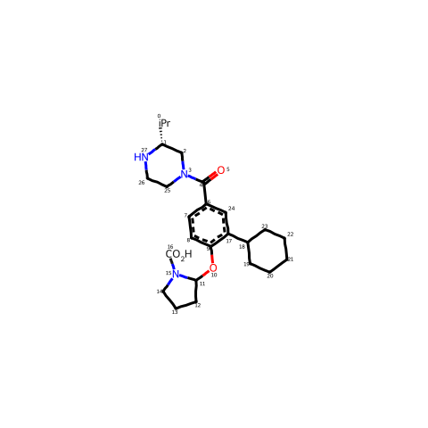 CC(C)[C@@H]1CN(C(=O)c2ccc(OC3CCCN3C(=O)O)c(C3CCCCC3)c2)CCN1